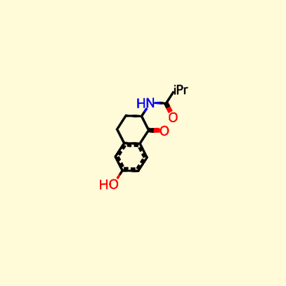 CC(C)C(=O)NC1CCc2cc(O)ccc2C1=O